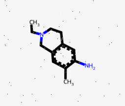 CCN1CCc2cc(N)c(C)cc2C1